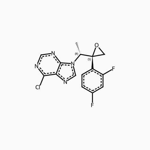 C[C@@H](n1cnc2c(Cl)ncnc21)[C@@]1(c2ccc(F)cc2F)CO1